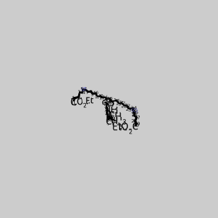 CCOC(=O)CCCC/C=C\CCCCCCCCC(CCCCCCCC/C=C\CCCCC(=O)OCC)OC(=O)CNCN(C)C